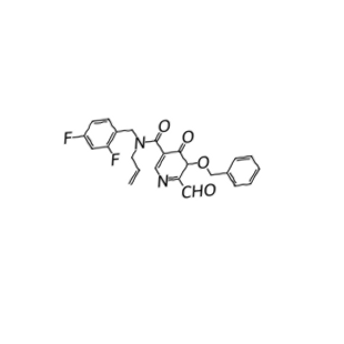 C=CCN(Cc1ccc(F)cc1F)C(=O)C1=CN=C(C=O)C(OCc2ccccc2)C1=O